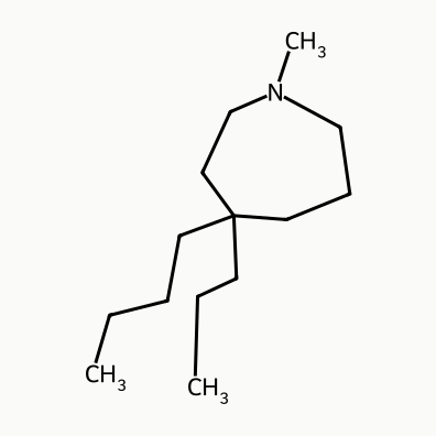 CCCCC1(CCC)CCCN(C)CC1